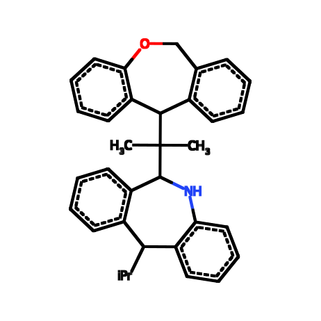 CC(C)C1c2ccccc2NC(C(C)(C)C2c3ccccc3COc3ccccc32)c2ccccc21